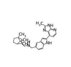 Cc1nc2c(-c3cc4cc(CNCC5CC6(C)CCC5C6(C)C)ccc4[nH]3)ccnc2[nH]1